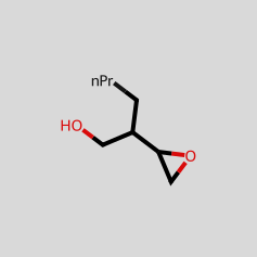 CCCCC(CO)C1CO1